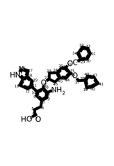 Nc1cc(CCC(=O)O)cc(-c2ccc3[nH]ncc3c2)c1OC1Cc2cc(OCc3ccccc3)c(OCc3ccccc3)cc2C1